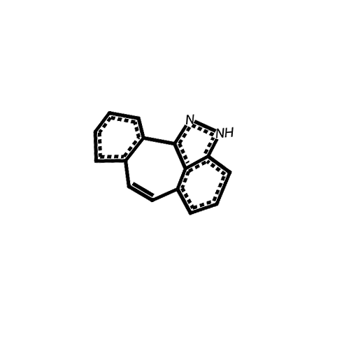 C1=Cc2cccc3[nH]nc(c23)-c2ccccc21